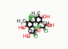 Cc1c(O)c(C)c(Br)c(-c2c(Br)c(C)c(O)c(C)c2Br)c1Br.OCC(Cl)COCC(Cl)CO